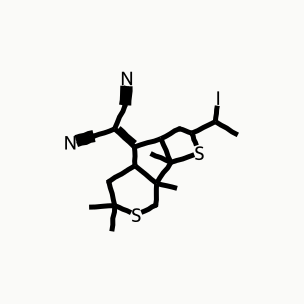 CC(I)C1CC2C(=C(C#N)C#N)C3CC(C)(C)SCC3(C)C2(C)S1